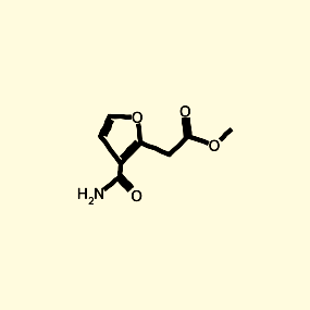 COC(=O)Cc1occc1C(N)=O